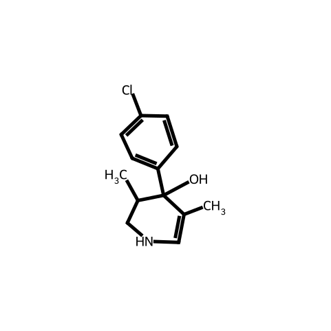 CC1=CNCC(C)C1(O)c1ccc(Cl)cc1